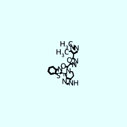 Cc1c(-c2nnc(C(=O)N3CCc4[nH]cnc4[C@H]3c3nc4ccccc4s3)o2)cnn1C